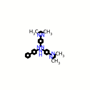 Cc1cc(C)nc(-c2ccc(C3=NC(c4ccc(-c5ccccc5)cc4)NC(c4ccc(-c5nc(C)cc(C)n5)cc4)=N3)cc2)n1